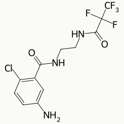 Nc1ccc(Cl)c(C(=O)NCCNC(=O)C(F)(F)C(F)(F)F)c1